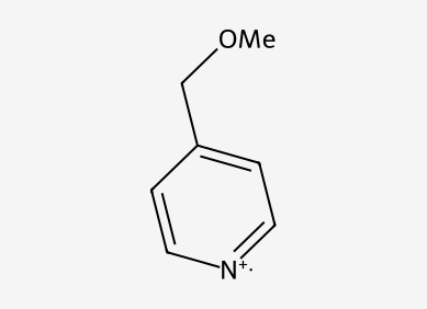 COCC1=CC=[N+]C=C1